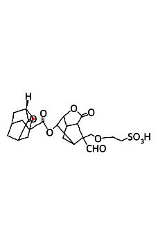 O=CC1(COCCS(=O)(=O)O)C2CC3C(OC(=O)C31)C2OC(=O)C12CC3CC(C1)C(=O)[C@H](C3)C2